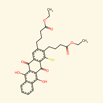 CCOC(=O)CCCc1cc2c(c(S)c1CCCC(=O)OCC)C(=O)c1c(c(O)c3ccccc3c1O)C2=O